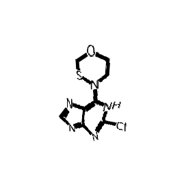 Clc1nc2ncnc-2c(N2CCOCS2)[nH]1